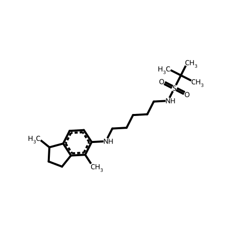 Cc1c(NCCCCCNS(=O)(=O)C(C)(C)C)ccc2c1CCC2C